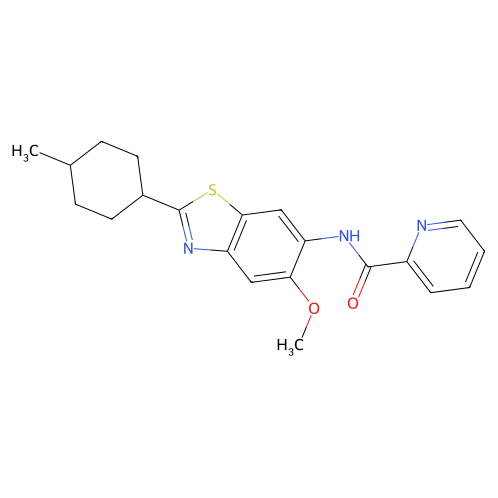 COc1cc2nc(C3CCC(C)CC3)sc2cc1NC(=O)c1ccccn1